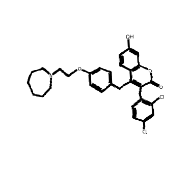 O=c1oc2cc(O)ccc2c(Cc2ccc(OCCN3CCCCCC3)cc2)c1-c1ccc(Cl)cc1Cl